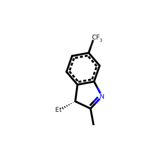 CC[C@H]1C(C)=Nc2cc(C(F)(F)F)ccc21